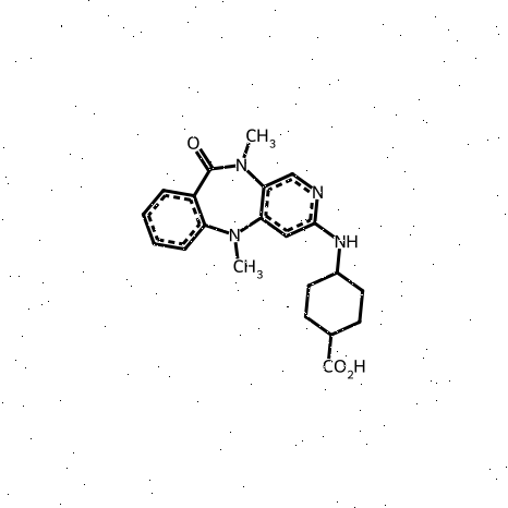 CN1C(=O)c2ccccc2N(C)c2cc(NC3CCC(C(=O)O)CC3)ncc21